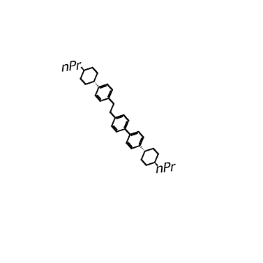 CCC[C@H]1CC[C@H](c2ccc(CCc3ccc(-c4ccc([C@H]5CC[C@H](CCC)CC5)cc4)cc3)cc2)CC1